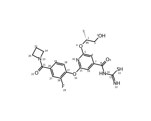 C[C@H](CO)Oc1cc(C(=O)NC(=N)S)cc(Oc2ccc(C(=O)N3CCC3)cc2F)n1